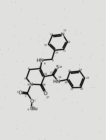 CC(C)(C)OC(=O)N1CCC(NCc2ccncc2)=C(C(=S)Nc2ccccc2)C1=O